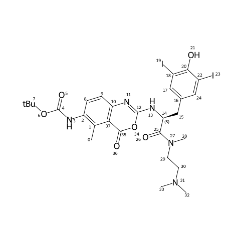 Cc1c(NC(=O)OC(C)(C)C)ccc2nc(N[C@@H](Cc3cc(I)c(O)c(I)c3)C(=O)N(C)CCN(C)C)oc(=O)c12